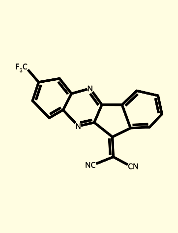 N#CC(C#N)=C1c2ccccc2-c2nc3cc(C(F)(F)F)ccc3nc21